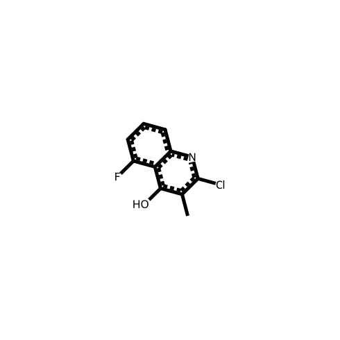 Cc1c(Cl)nc2cccc(F)c2c1O